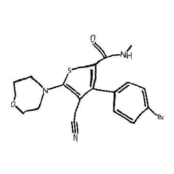 CNC(=O)c1sc(N2CCOCC2)c(C#N)c1-c1ccc(Br)cc1